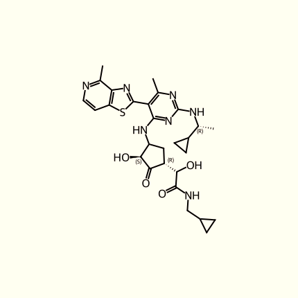 Cc1nc(N[C@H](C)C2CC2)nc(NC2C[C@H](C(O)C(=O)NCC3CC3)C(=O)[C@H]2O)c1-c1nc2c(C)nccc2s1